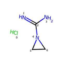 Cl.N=C(N)N1CC1